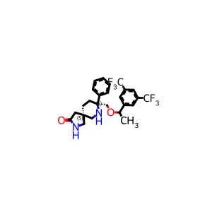 CC(OC[C@@]1(c2ccccc2)CC[C@@]2(CNC(=O)C2)CN1)c1cc(C(F)(F)F)cc(C(F)(F)F)c1